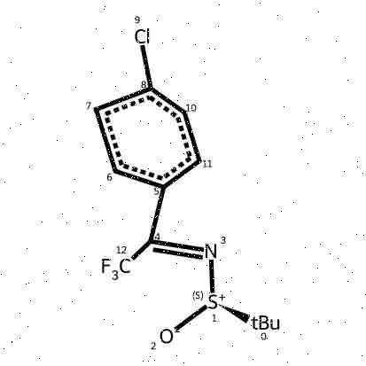 CC(C)(C)[S@@+]([O-])N=C(c1ccc(Cl)cc1)C(F)(F)F